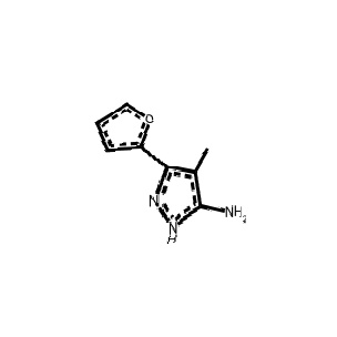 Cc1c(-c2ccco2)n[nH]c1N